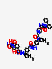 CC(NC[C@H](O)c1ccc(O)c2[nH]c(=O)ccc12)c1ccc(CNC(=O)Cc2ccc(N(C)C(=O)CCN3CCC(OC(=O)Nc4ccccc4-c4ccccc4)CC3)cc2)cc1